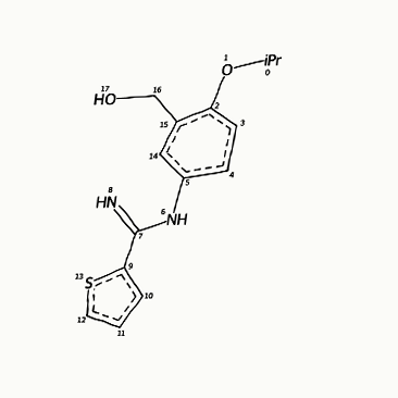 CC(C)Oc1ccc(NC(=N)c2cccs2)cc1CO